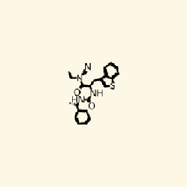 CCN(C#N)C(=O)C(Cc1csc2ccccc12)NC(=O)N[C@@H](C)c1ccccc1